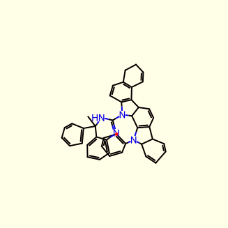 CC1(c2ccccc2)NC(N2c3ccc4c(c3C3C=CC5=C(C32)N(c2ccccc2)C2C=CC=CC52)C=CCC4)=Nc2ccccc21